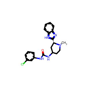 CN1CCC(NC(=O)Nc2cccc(Cl)c2)C[C@@H]1c1nc2ccccc2[nH]1